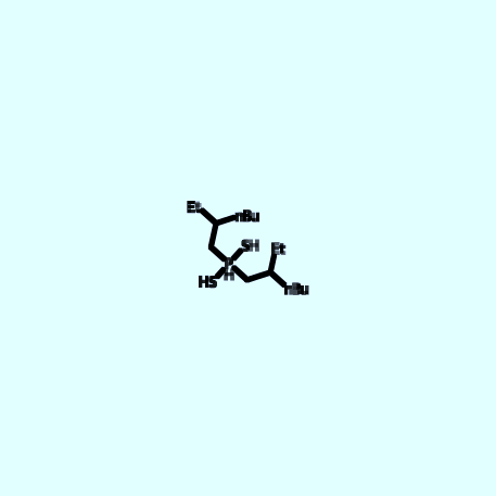 CCCCC(CC)C[PH](S)(S)CC(CC)CCCC